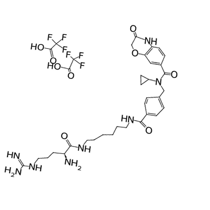 N=C(N)NCCC[C@H](N)C(=O)NCCCCCCNC(=O)c1ccc(CN(C(=O)c2ccc3c(c2)OCC(=O)N3)C2CC2)cc1.O=C(O)C(F)(F)F.O=C(O)C(F)(F)F